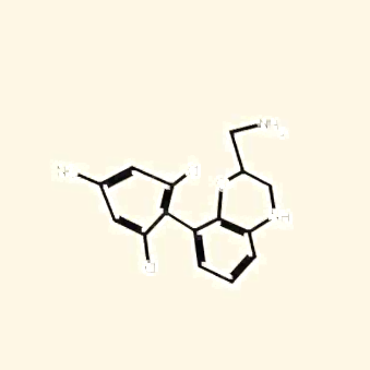 N#Cc1cc(Cl)c(-c2cccc3c2OC(CN)CN3)c(Cl)c1